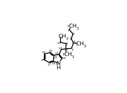 CCCCC(C)CC(C)(CCC)Cc1c[nH]c2ccccc12